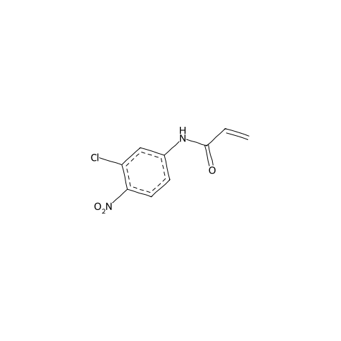 C=CC(=O)Nc1ccc([N+](=O)[O-])c(Cl)c1